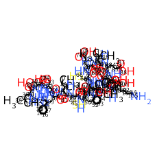 CC[C@H](C)[C@H](NC(=O)[C@H](Cc1c[nH]c2ccccc12)NC(=O)[C@H](CO)NC(=O)[C@H](CO)NC(=O)[C@@H](N)CC(C)C)C(=O)N[C@@H](CS)C(=O)N[C@@H](Cc1ccccc1)C(=O)N[C@H](C(=O)N[C@@H](CS)C(=O)N[C@@H](CCC(=O)O)C(=O)N[C@H](C(=O)N[C@@H](CCC(=O)O)C(=O)N[C@H](C(=O)N[C@H](C(=O)N[C@@H](CCCCN)C(=O)O)C(C)C)[C@@H](C)O)C(C)C)[C@@H](C)O